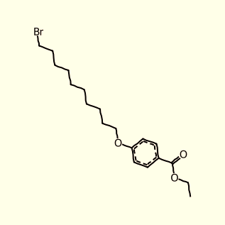 CCOC(=O)c1ccc(OCCCCCCCCCCBr)cc1